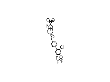 O=[N+]([O-])c1cn2c(n1)CC[C@@H](OCc1ccc(-c3ccc(OC(F)(F)F)cc3Cl)cc1)C2